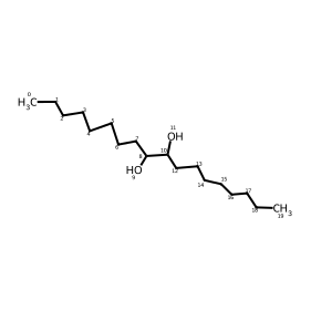 CCCCCCCCC(O)C(O)CCCCCCCC